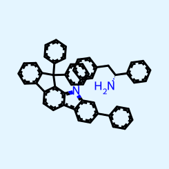 N[C@H](Cc1cccc(-n2c3cc(-c4ccccc4)ccc3c3ccc4c(c32)C(c2ccccc2)(c2ccccc2)c2ccccc2-4)c1)c1ccccc1